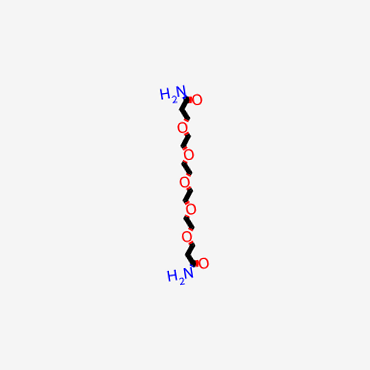 NC(=O)CCOCCOCCOCCOCCOCCC(N)=O